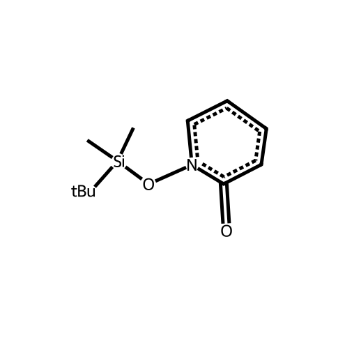 CC(C)(C)[Si](C)(C)On1ccccc1=O